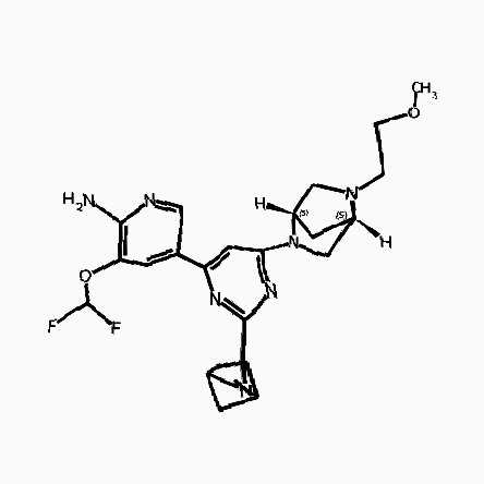 COCCN1C[C@@H]2C[C@H]1CN2c1cc(-c2cnc(N)c(OC(F)F)c2)nc(N2CC3CC2C3)n1